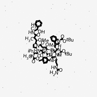 CC[C@H](C)[C@@H]([C@@H](CC(=O)N1CCC[C@H]1[C@H](OC)[C@@H](C)C(=O)N[C@H](C)[C@@H](O)c1ccccc1)OC)N(C)C(=O)[C@@H](NC(=O)[C@H](C(C)C)N(C)C(=O)OCc1ccc(NC(=O)[C@H](CCCNC(N)=O)NC(=O)[C@@H](Cc2cn(C(=O)OC(C)(C)C)c3ccccc23)NC(=O)OC(C)(C)C)cc1)C(C)C